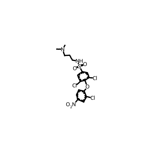 CN(C)CCCNS(=O)(=O)c1cc(Cl)c(Oc2ccc([N+](=O)[O-])cc2Cl)c(Cl)c1